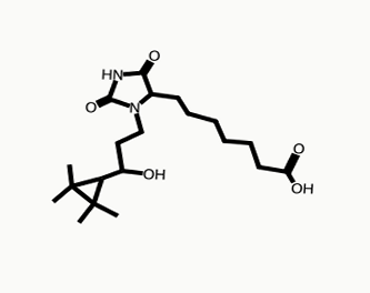 CC1(C)C(C(O)CCN2C(=O)NC(=O)C2CCCCCCC(=O)O)C1(C)C